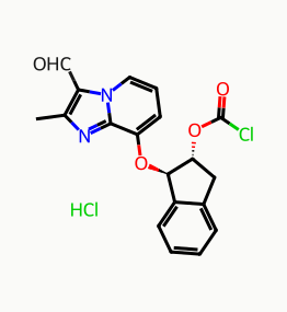 Cc1nc2c(O[C@@H]3c4ccccc4C[C@H]3OC(=O)Cl)cccn2c1C=O.Cl